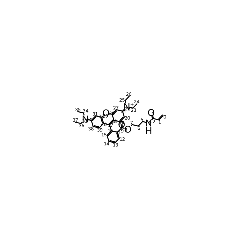 C=CC(=O)NCCCOC(=O)c1ccccc1-c1c2ccc(=[N+](CC)CC)cc-2oc2cc(N(CC)CC)ccc12